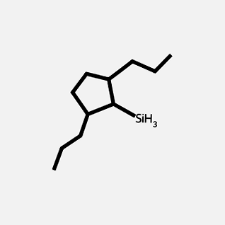 CCCC1CCC(CCC)C1[SiH3]